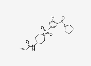 C=CC(=O)NC1CCN(S(=O)(=O)c2c[nH]c(C(=O)N3CCCC3)c2)CC1